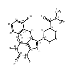 CCCN(CC)C(=O)C1CCCN(c2nc3c(c(=O)n(C)c(=O)n3C)n2Cc2c(C)cccc2F)C1